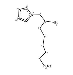 CCCCCCCCCCCCCC(CC)Cn1ccnc1